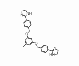 Cc1cc(OCc2ccc(C3=NCCN3)cc2)cc(OCc2ccc(C3=NCCN3)cc2)c1